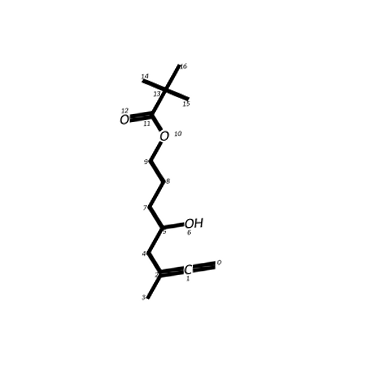 C=C=C(C)CC(O)CCCOC(=O)C(C)(C)C